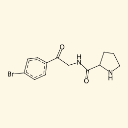 O=C(CNC(=O)C1CCCN1)c1ccc(Br)cc1